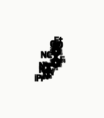 CCS(=O)(=O)c1ccc(-c2cc(-c3cnnc4c3ncn4C(C)C)ccc2F)c(C#N)c1